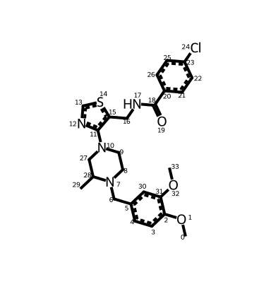 COc1ccc(CN2CCN(c3ncsc3CNC(=O)c3ccc(Cl)cc3)CC2C)cc1OC